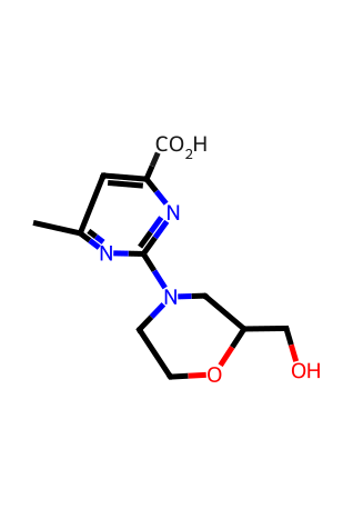 Cc1cc(C(=O)O)nc(N2CCOC(CO)C2)n1